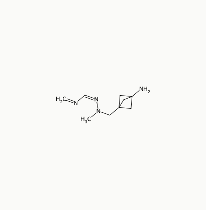 C=N/C=N\N(C)CC12CC(N)(C1)C2